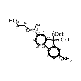 Bc1ccc2c(c1)C(CCCCCCCC)(CCCCCCCC)c1cc(B(C)OCCO)ccc1-2